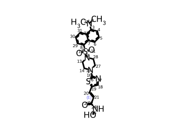 CN(C)c1cccc2c(S(=O)(=O)N3CCN(c4ncc(/C=C/C(=O)NO)s4)CC3)cccc12